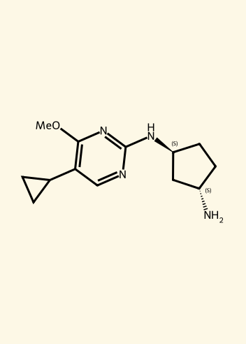 COc1nc(N[C@H]2CC[C@H](N)C2)ncc1C1CC1